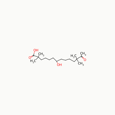 CC(=O)C(C)(C)CCCCC(O)CCCCC(C)(C)C(=O)O